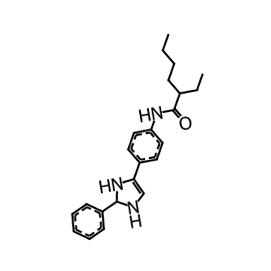 CCCCC(CC)C(=O)Nc1ccc(C2=CNC(c3ccccc3)N2)cc1